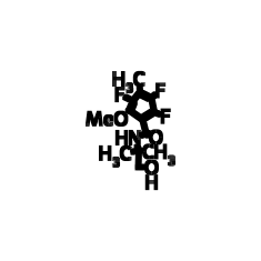 COc1c(F)c(C)c(F)c(F)c1C(=O)NC(C)(C)CO